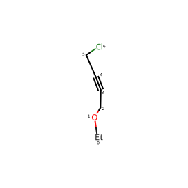 [CH2]COCC#CCCl